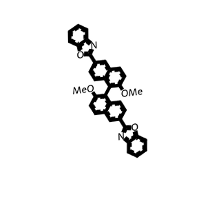 COc1ccc2cc(-c3nc4ccccc4o3)ccc2c1-c1c(OC)ccc2cc(-c3nc4ccccc4o3)ccc12